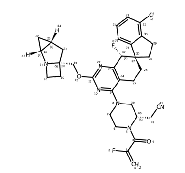 C=C(F)C(=O)N1CCN(c2nc(OC[C@]34CCN3[C@@H]3C[C@@H]3C4)nc3c2CC[C@@]2(CCc4c(Cl)cccc42)[C@H]3F)C[C@@H]1CC#N